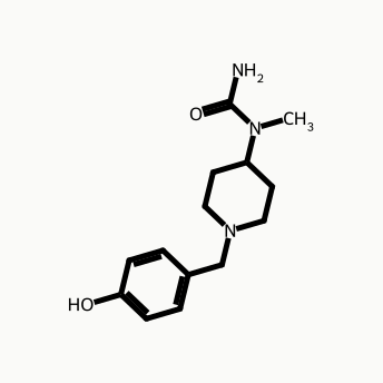 CN(C(N)=O)C1CCN(Cc2ccc(O)cc2)CC1